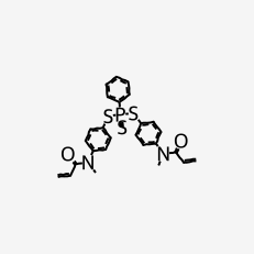 C=CC(=O)N(C)c1ccc(SP(=S)(Sc2ccc(N(C)C(=O)C=C)cc2)c2ccccc2)cc1